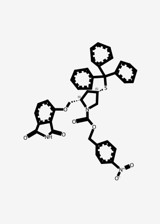 O=C1NC(=O)c2c(OC[C@@H]3C[C@H](SC(c4ccccc4)(c4ccccc4)c4ccccc4)CN3C(=O)OCc3ccc([N+](=O)[O-])cc3)cccc21